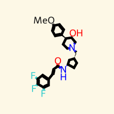 COc1ccc([C@@H]2CCN(C[C@@H]3CC[C@H](NC(=O)/C=C/c4cc(F)c(F)c(F)c4)C3)C[C@@H]2O)cc1